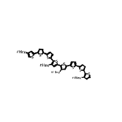 CCCCCCc1csc(-c2ccc(-c3ccc(-c4sc(-c5sc(-c6ccc(-c7ccc(-c8sccc8CCCCCC)s7)s6)cc5CCCCCC)cc4CCCCCC)s3)s2)c1